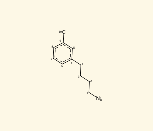 [N]CCCCc1cccc(Cl)c1